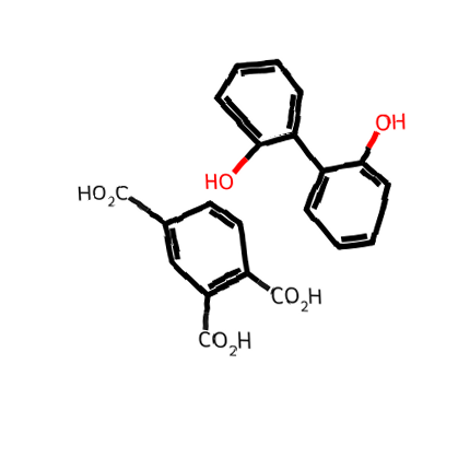 O=C(O)c1ccc(C(=O)O)c(C(=O)O)c1.Oc1ccccc1-c1ccccc1O